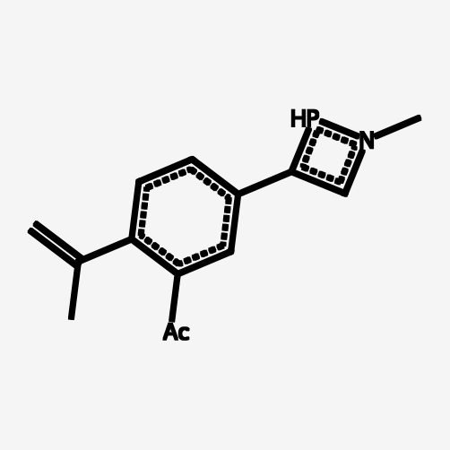 C=C(C)c1ccc(-c2cn(C)[pH]2)cc1C(C)=O